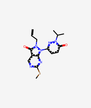 C=CCn1c(=O)c2cnc(SC)nc2n1-c1ccc(=O)n(C(C)C)n1